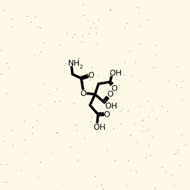 NCC(=O)OC(CC(=O)O)(CC(=O)O)C(=O)O